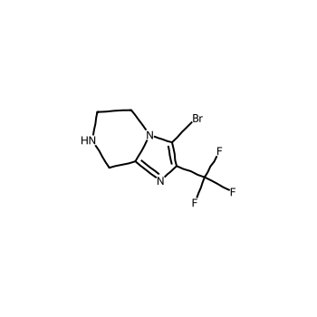 FC(F)(F)c1nc2n(c1Br)CCNC2